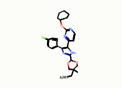 CC(=O)NCC1(C)COC(c2nc(-c3ccc(F)cc3)c(-c3ccnc(OC4CCCCC4)n3)[nH]2)OC1